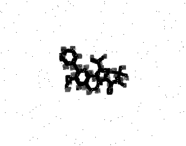 C=C(C)c1nc(C(=O)N(C)C(C)(C)C)n2c1-c1cc(-c3cccnc3)c(OC)cc1CC2